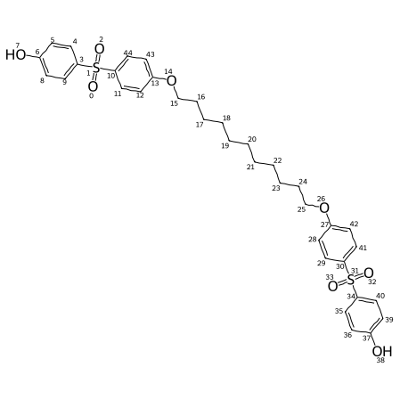 O=S(=O)(c1ccc(O)cc1)c1ccc(OCCCCCCCCCCCOc2ccc(S(=O)(=O)c3ccc(O)cc3)cc2)cc1